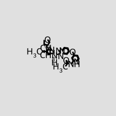 CC(=O)Nc1cc(Oc2ccn3nc(Nc4cc(C(C)(C)C)n([C@@H]5CCOC5)n4)nc3c2)ccn1